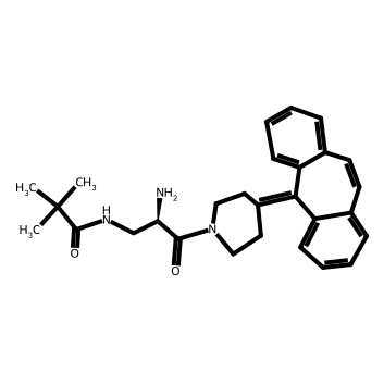 CC(C)(C)C(=O)NC[C@@H](N)C(=O)N1CCC(=C2c3ccccc3C=Cc3ccccc32)CC1